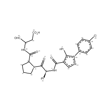 CCCc1c(C(=O)N[C@H](C(=O)N2CCCC2C(=O)NC(C=O)CC(=O)O)C(C)C)cnn1-c1ccc(Cl)cc1